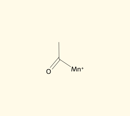 C[C](=O)[Mn+]